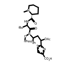 CCCCCON(C(=O)C(NC(=O)[C@H]1CCCCN1C)C(C)CC)C(CC(OC(C)=O)c1nc(C(=O)O)cs1)C(C)C